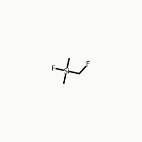 C[Si](C)(F)CF